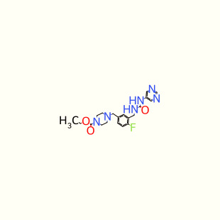 CCOC(=O)N1CCN(Cc2ccc(F)c(CNC(=O)Nc3cncnc3)c2)CC1